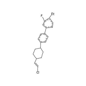 CCc1ccc(-c2ccc(C3CCC(/C=C/Cl)CC3)cc2)cc1F